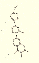 COc1ccc(-c2ccc(-c3ccc4c(F)c(F)c(F)cc4c3)c(F)c2)cc1